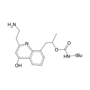 CC(Cc1cccc2c(O)cc(CCN)nc12)OC(=O)NC(C)(C)C